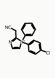 N#CCC1=NC=C[N+]1(c1ccccc1)c1ccc(Cl)cc1